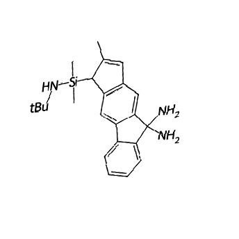 CC1=Cc2cc3c(cc2C1[Si](C)(C)NC(C)(C)C)-c1ccccc1C3(N)N